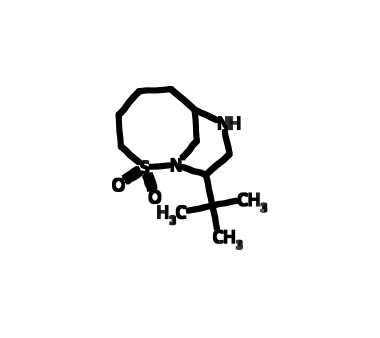 CC(C)(C)C1CNC2CCCCS(=O)(=O)N1C2